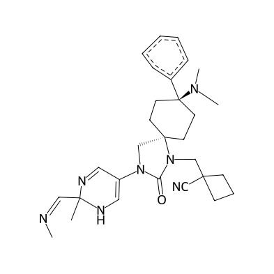 C/N=C\C1(C)N=CC(N2C[C@]3(CC[C@](c4ccccc4)(N(C)C)CC3)N(CC3(C#N)CCC3)C2=O)=CN1